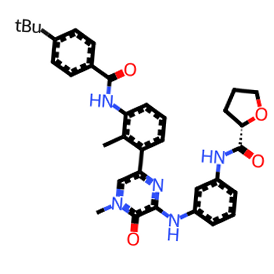 Cc1c(NC(=O)c2ccc(C(C)(C)C)cc2)cccc1-c1cn(C)c(=O)c(Nc2cccc(NC(=O)[C@@H]3CCCO3)c2)n1